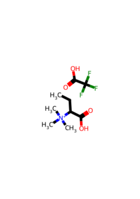 CCC(C(=O)O)[N+](C)(C)C.O=C(O)C(F)(F)F